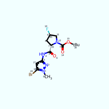 Cn1nc(NC(=O)[C@@H]2C[C@@H](F)CN2C(=O)OC(C)(C)C)cc1Br